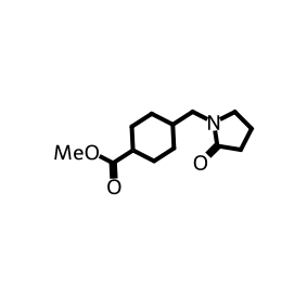 COC(=O)C1CCC(CN2CCCC2=O)CC1